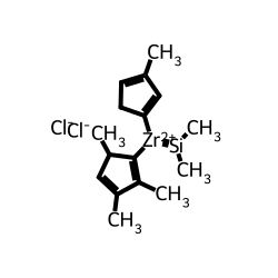 CC1=CC[C]([Zr+2]([C]2=C(C)C(C)=CC2C)=[Si](C)C)=C1.[Cl-].[Cl-]